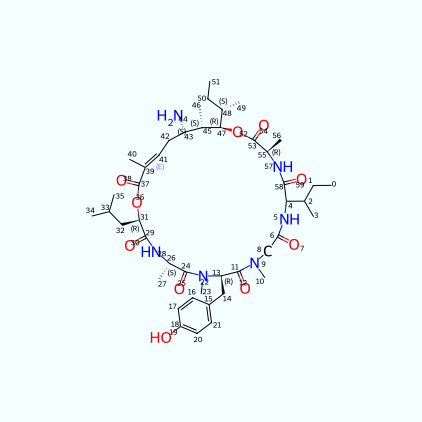 CCC(C)C1NC(=O)CN(C)C(=O)[C@@H](Cc2ccc(O)cc2)N(C)C(=O)[C@H](C)NC(=O)[C@@H](CC(C)C)OC(=O)/C(C)=C/C[C@H](N)[C@H](C)[C@@H]([C@@H](C)CC)OC(=O)[C@@H](C)NC1=O